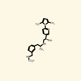 Cc1ccc(C)n1-c1ccc([C@@H](O)CN[C@H](C)Cc2cccc(CNC(=O)O)c2)cn1